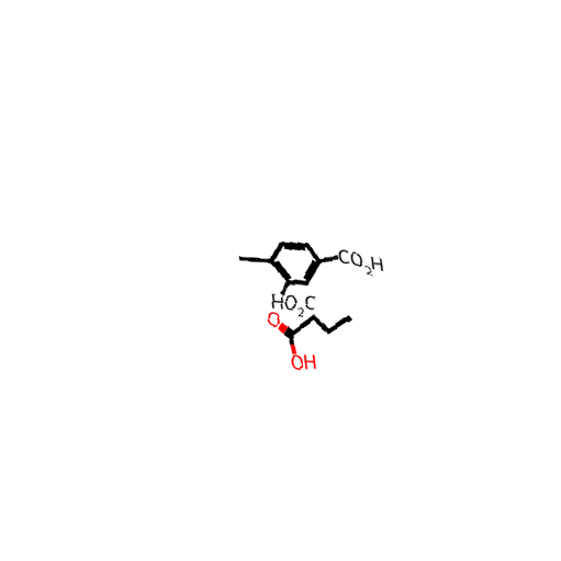 CCCC(=O)O.Cc1ccc(C(=O)O)cc1C(=O)O